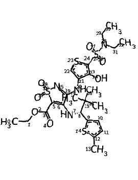 CCOC(=O)C1=C(N[C@@H](c2ccc(C)s2)C(C)(C)C)C(Nc2csc(S(=O)(=O)N(CC)CC)c2O)=NS1(=O)=O